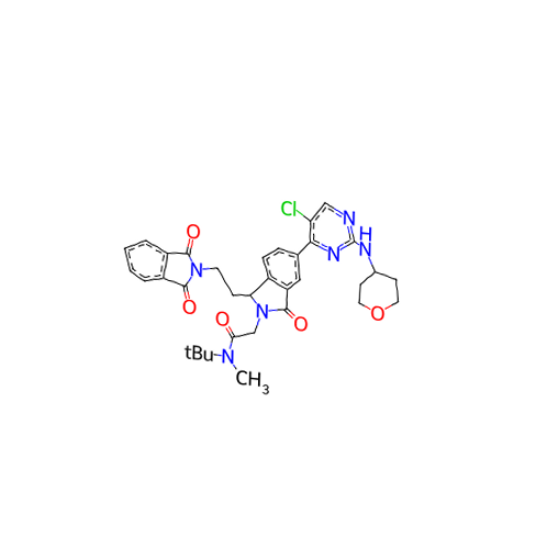 CN(C(=O)CN1C(=O)c2cc(-c3nc(NC4CCOCC4)ncc3Cl)ccc2C1CCN1C(=O)c2ccccc2C1=O)C(C)(C)C